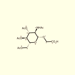 CC(=O)N[C@H]1[C@H](OCC(=O)O)O[C@H](COC(C)=O)[C@@H](OC(C)=O)[C@@H]1OC(C)=O